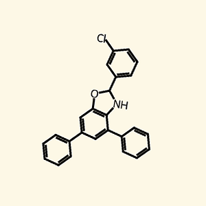 Clc1cccc(C2Nc3c(cc(-c4ccccc4)cc3-c3ccccc3)O2)c1